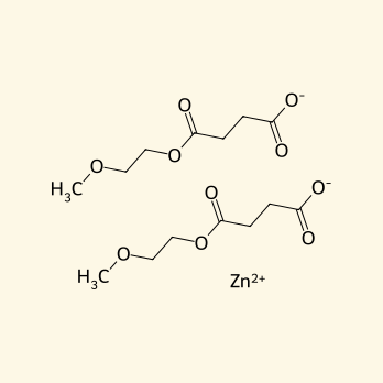 COCCOC(=O)CCC(=O)[O-].COCCOC(=O)CCC(=O)[O-].[Zn+2]